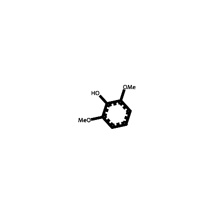 COc1c[c]cc(OC)c1O